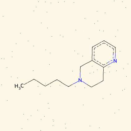 CCCCCN1CCc2ncccc2C1